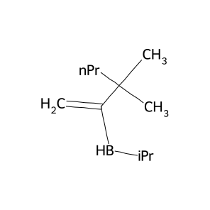 C=C(BC(C)C)C(C)(C)CCC